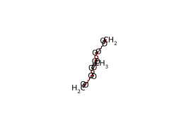 C=CC(=O)OCCCCCCOCC(=O)C1CCC(C(=O)Oc2ccc(OC(=O)C3CCC(C(=O)OCCCCCCOC(=O)C=C)CC3)cc2C)CC1